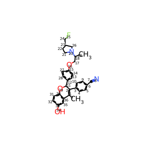 CC1=C(c2ccc(C#N)cc2)C(c2ccc(OCC(C)N3CC[C@@H](CF)C3)cc2)Oc2ccc(O)cc21